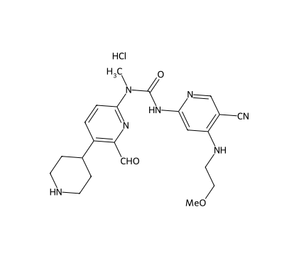 COCCNc1cc(NC(=O)N(C)c2ccc(C3CCNCC3)c(C=O)n2)ncc1C#N.Cl